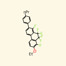 CCCc1ccc(-c2ccc3c(c2F)C(F)(F)C(F)(F)c2c-3ccc(OCC)c2F)cc1